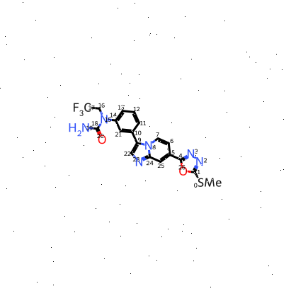 CSc1nnc(-c2ccn3c(-c4cccc(N(CC(F)(F)F)C(N)=O)c4)cnc3c2)o1